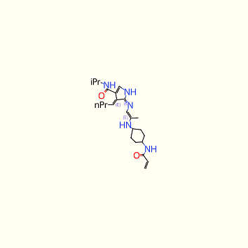 C=CC(=O)NC1CCC(N/C(C)=C/N=C2/NC=C(C(=O)NC(C)C)/C2=C\CCC)CC1